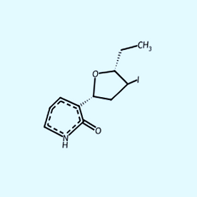 CC[C@H]1O[C@@H](c2ccc[nH]c2=O)CC1I